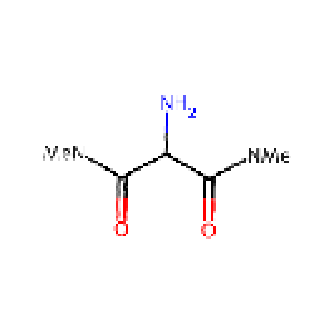 CNC(=O)C(N)C(=O)NC